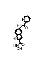 O=C(Nc1ccc2[nH]c(C(=O)NO)cc2c1)c1ccccn1